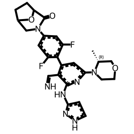 C[C@@H]1COCCN1c1cc(-c2c(F)cc(N3CC4CCC(O4)C3=O)cc2F)c(C=N)c(Nc2cc[nH]n2)n1